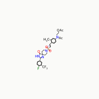 CC(=O)OCCN(C(C)=O)c1ccc(/C=C/S(=O)(=O)N2CCC3(CC2)N=C(c2ccc(F)c(C(F)(F)F)c2)NC3=O)c(C)c1